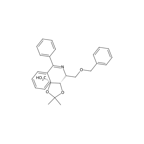 CC1(C)O[C@H](C(=O)O)[C@H](C(COCc2ccccc2)N=C(c2ccccc2)c2ccccc2)O1